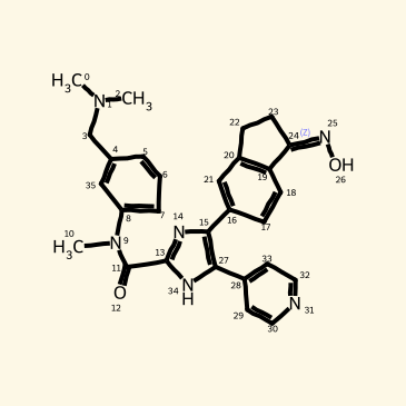 CN(C)Cc1cccc(N(C)C(=O)c2nc(-c3ccc4c(c3)CC/C4=N/O)c(-c3ccncc3)[nH]2)c1